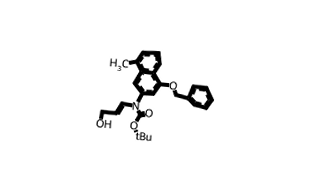 Cc1cccc2c(OCc3ccccc3)cc(N(/C=C/CO)C(=O)OC(C)(C)C)cc12